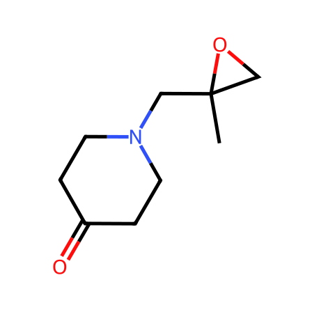 CC1(CN2CCC(=O)CC2)CO1